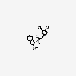 CN(C)[C@@H]1Cc2ccccc2[C@H]1N(C)C(=O)Cc1ccc(Cl)c(Cl)c1